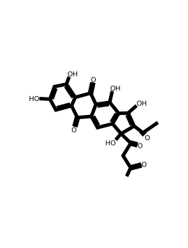 CC(=O)CC(=O)C1(O)C(C(C)=O)=C(O)c2c1cc1c(c2O)C(=O)c2c(O)cc(O)cc2C1=O